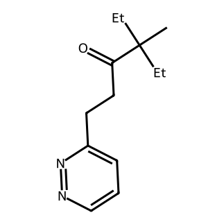 CCC(C)(CC)C(=O)CCc1cccnn1